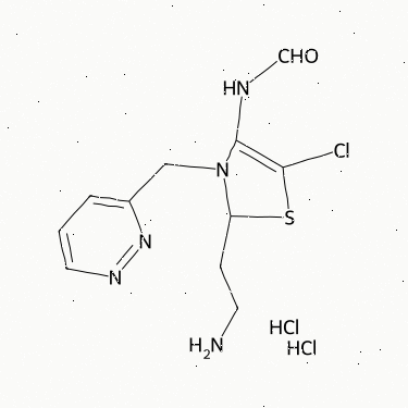 Cl.Cl.NCCC1SC(Cl)=C(NC=O)N1Cc1cccnn1